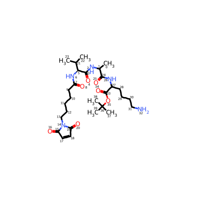 CC(NC(=O)[C@@H](NC(=O)CCCCCN1C(=O)C=CC1=O)C(C)C)C(=O)NC(CCCCN)C(=O)OC(C)(C)C